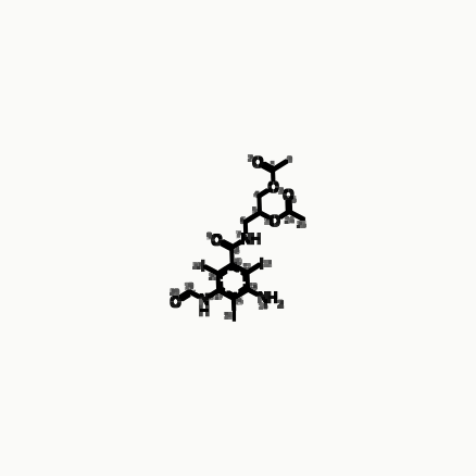 CC(=O)OCC(CNC(=O)c1c(I)c(N)c(I)c(N[C]=O)c1I)OC(C)=O